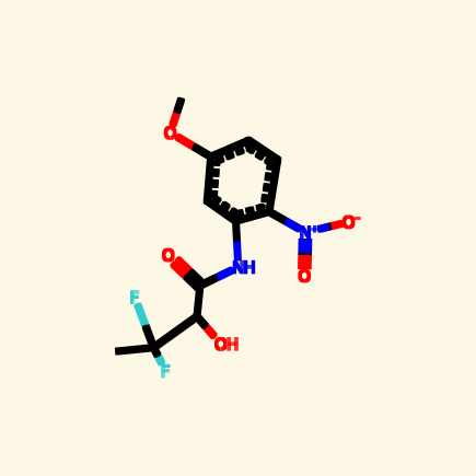 COc1ccc([N+](=O)[O-])c(NC(=O)C(O)C(C)(F)F)c1